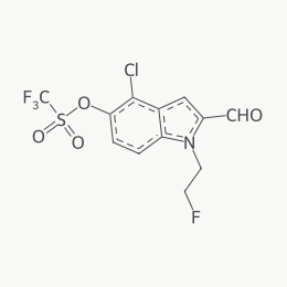 O=Cc1cc2c(Cl)c(OS(=O)(=O)C(F)(F)F)ccc2n1CCF